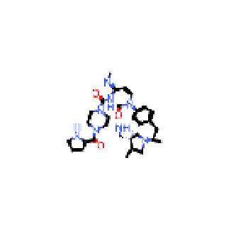 C/N=C(\C=C/N(C=O)c1ccc(CC(C)N2CC(C)[C@H](CN)C2)cc1)NC(=O)N1CCN(C(=O)C2CCCN2)CC1